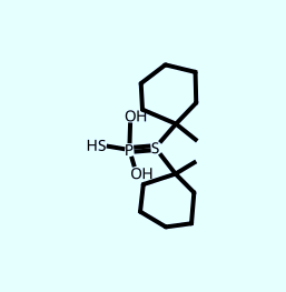 CC1(S(C2(C)CCCCC2)=P(O)(O)S)CCCCC1